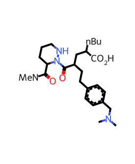 CCCCC(CC(CCc1ccc(CN(C)C)cc1)C(=O)N1NCCCC1C(=O)NC)C(=O)O